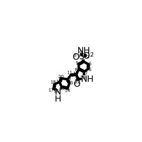 NS(=O)(=O)c1ccc2c(c1)C(=Cc1ccc3[nH]ccc3c1)C(=O)N2